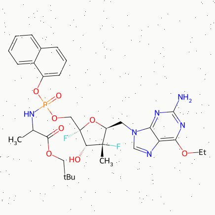 CCOc1nc(N)nc2c1ncn2C[C@@H]1O[C@](F)(COP(=O)(NC(C)C(=O)OCC(C)(C)C)Oc2cccc3ccccc23)[C@@H](O)[C@@]1(C)F